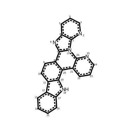 c1cnc2c(c1)nc1c3ccc4c5ccccc5[nH]c4c3c3cccnc3n21